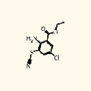 CCOC(=O)c1cc(Cl)cc(SC#N)c1N